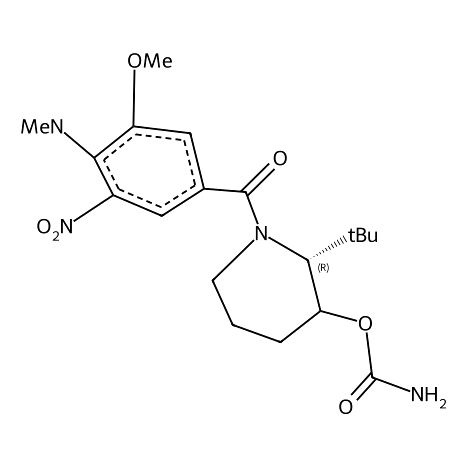 CNc1c(OC)cc(C(=O)N2CCCC(OC(N)=O)[C@H]2C(C)(C)C)cc1[N+](=O)[O-]